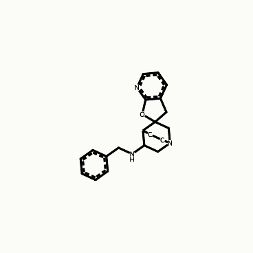 c1ccc(CNC2CN3CCC2C2(Cc4cccnc4O2)C3)cc1